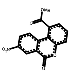 COC(=O)c1cccc2oc(=O)c3cc([N+](=O)[O-])ccc3c12